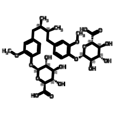 COc1cc(C[C@@H](C)[C@@H](C)Cc2ccc(O[C@@H]3O[C@H](C(=O)O)[C@@H](O)[C@H](O)[C@H]3O)c(OC)c2)ccc1O[C@@H]1O[C@H](C(=O)O)[C@@H](O)[C@H](O)[C@H]1O